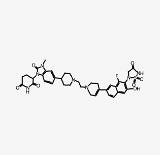 Cn1c(=O)n(C2CCC(=O)NC2=O)c2ccc(C3CCN(CCN4CC=C(c5ccc6cc(O)c(N7CC(=O)NS7(=O)=O)c(F)c6c5)CC4)CC3)cc21